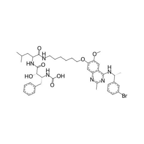 COc1cc2c(N[C@H](C)c3cccc(Br)c3)nc(C)nc2cc1OCCCCCCNC(=O)C(CC(C)C)NC(=O)[C@@H](O)[C@@H](Cc1ccccc1)NC(=O)O